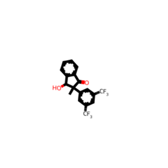 CC1(c2cc(C(F)(F)F)cc(C(F)(F)F)c2)C(=O)c2ccccc2C1O